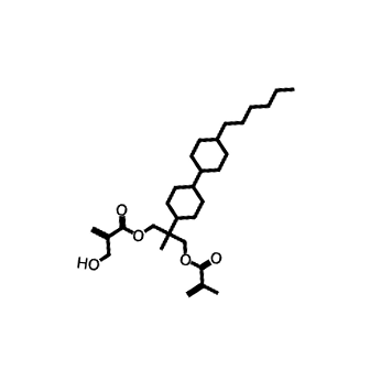 C=C(C)C(=O)OCC(C)(COC(=O)C(=C)CO)C1CCC(C2CCC(CCCCCC)CC2)CC1